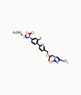 CC(=O)NC[C@H]1CN(c2ccc(-c3ccc(CO[C@@H]4COc5nc([N+](=O)[O-])cn5C4)cn3)c(F)c2)C(=O)O1